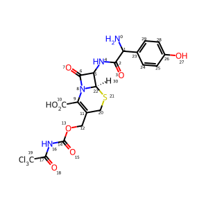 NC(C(=O)NC1C(=O)N2C(C(=O)O)=C(COC(=O)NC(=O)C(Cl)(Cl)Cl)CS[C@H]12)c1ccc(O)cc1